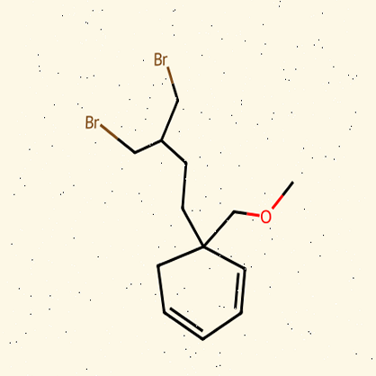 COCC1(CCC(CBr)CBr)C=CC=CC1